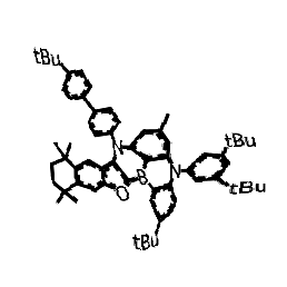 Cc1cc2c3c(c1)N(c1ccc(-c4ccc(C(C)(C)C)cc4)cc1)c1c(oc4cc5c(cc14)C(C)(C)CCC5(C)C)B3c1cc(C(C)(C)C)ccc1N2c1cc(C(C)(C)C)cc(C(C)(C)C)c1